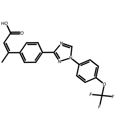 C/C(=C/C(=O)O)c1ccc(-c2ncn(-c3ccc(OC(F)(F)F)cc3)n2)cc1